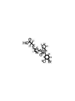 COc1cc(N(CC2CCCC2)C(=O)Nc2ncc(SCC(C)(C)C(=O)O)s2)ccc1Br